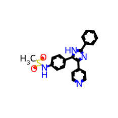 CS(=O)(=O)Nc1ccc(-c2[nH]c(-c3ccccc3)nc2-c2ccncc2)cc1